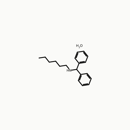 CCCCCCNC(c1ccccc1)c1ccccc1.O